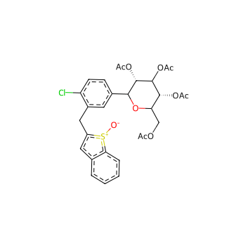 CC(=O)OCC1OC(c2ccc(Cl)c(Cc3cc4ccccc4[s+]3[O-])c2)[C@H](OC(C)=O)C(OC(C)=O)[C@@H]1OC(C)=O